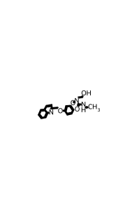 CCNC(=O)N(CCO)Oc1cccc(OCc2ccc3ccccc3n2)c1